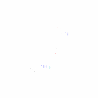 O=C(O)NCC(=CF)COc1ccc2c(c1)CNC2=O